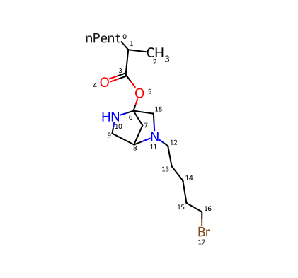 CCCCCC(C)C(=O)OC12CC(CN1)N(CCCCCBr)C2